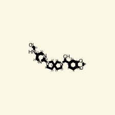 CC(c1ccc2c(c1)OCO2)N1CCC2(CCN(c3ncc(NC=O)cn3)C2)C1